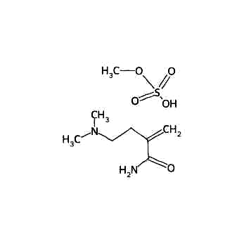 C=C(CCN(C)C)C(N)=O.COS(=O)(=O)O